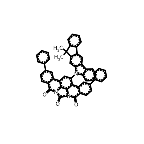 CC1(C)c2ccccc2-c2cc3c4ccccc4n(-c4cc5c6cc(-c7ccccc7)ccc6c(=O)n6c(=O)n7c(=O)c8ccc(-c9ccccc9)cc8c4c7c56)c3cc21